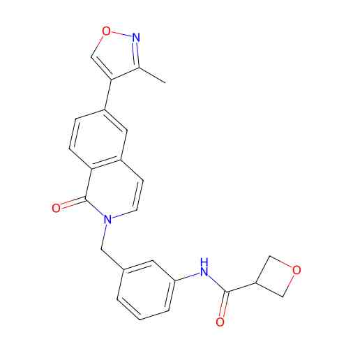 Cc1nocc1-c1ccc2c(=O)n(Cc3cccc(NC(=O)C4COC4)c3)ccc2c1